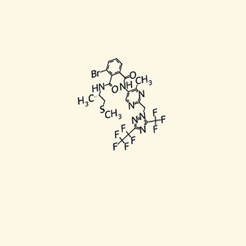 CSC[C@H](C)NC(=O)c1c(Br)cccc1C(=O)Nc1cnc(Cn2nc(C(F)(F)C(F)(F)F)nc2C(F)(F)F)nc1C